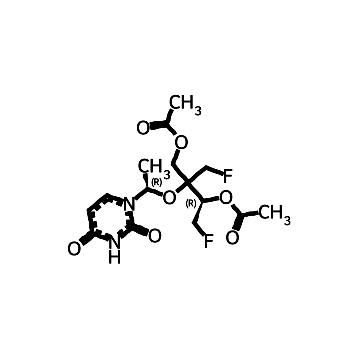 CC(=O)OCC(CF)(O[C@H](C)n1ccc(=O)[nH]c1=O)[C@H](CF)OC(C)=O